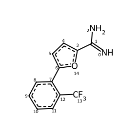 N=C(N)c1ccc(-c2ccccc2C(F)(F)F)o1